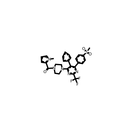 Cn1cccc1C(=O)N1CCN(c2nc(C(F)(F)F)nc(-c3ccc(S(C)(=O)=O)cc3)c2-c2ccccc2)CC1